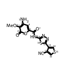 COc1c(N)cc(C(=O)Nc2nnc(-c3cscc3C#N)s2)oc1=O